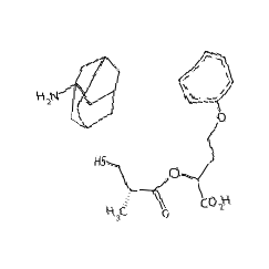 C[C@H](CS)C(=O)OC(CCOc1ccccc1)C(=O)O.NC12CC3CC(CC(C3)C1)C2